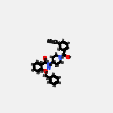 COc1cccc(C(=O)N2CCC(NC(=O)c3ccccc3OCc3ccccc3)CC2)c1